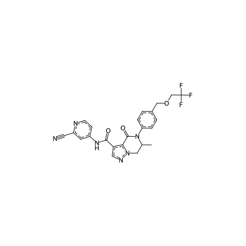 CC1Cn2ncc(C(=O)Nc3ccnc(C#N)c3)c2C(=O)N1c1ccc(COCC(F)(F)F)cc1